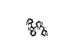 [CH](c1cccnc1)c1nccc(-c2c(-c3ccccn3)nc3ccccn23)n1